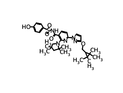 CC1(C)CN(c2nc(-n3ccc(OCC4C(C)(C)C4(C)C)n3)ccc2C(=O)NS(=O)(=O)c2ccc(O)cc2)C(C)(C)C1